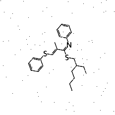 CCCCC(CC)CSC(=N/c1ccccc1)/C(C)=C/Sc1ccccc1